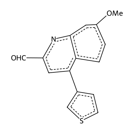 COc1ccc2c(-c3ccsc3)cc(C=O)nc2c1